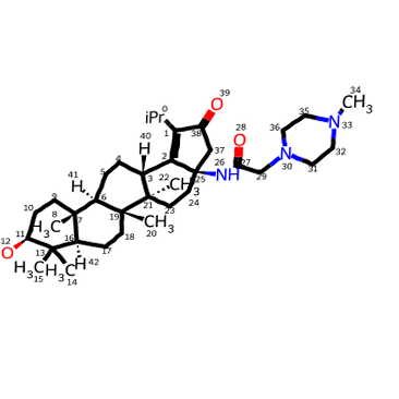 CC(C)C1=C2[C@H]3CC[C@@H]4[C@@]5(C)CC[C@H](O)C(C)(C)[C@@H]5CC[C@@]4(C)[C@]3(C)CC[C@@]2(NC(=O)CN2CCN(C)CC2)CC1=O